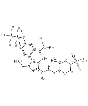 CCn1nc(C(=O)NCC2CCC(S(C)(=O)=O)CC2O)c(Cl)c1-c1ccc(CC(C)(C)C(F)(F)F)cc1OC(F)F